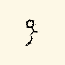 N#CCSC(=S)c1ccccc1